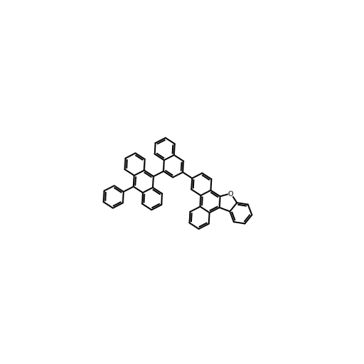 c1ccc(-c2c3ccccc3c(-c3cc(-c4ccc5c(c4)c4ccccc4c4c6ccccc6oc54)cc4ccccc34)c3ccccc23)cc1